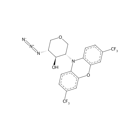 [N-]=[N+]=N[C@@H]1COC[C@H](N2c3ccc(C(F)(F)F)cc3Oc3cc(C(F)(F)F)ccc32)[C@H]1O